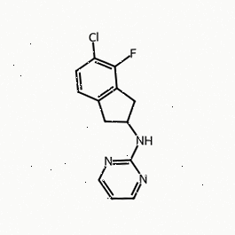 Fc1c(Cl)ccc2c1CC(Nc1nc[c]cn1)C2